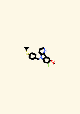 COc1cc2c3ncccc3n(Cc3ccc(SC4CC4)cc3)c2cc1F